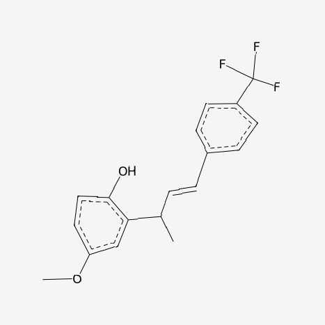 COc1ccc(O)c(C(C)C=Cc2ccc(C(F)(F)F)cc2)c1